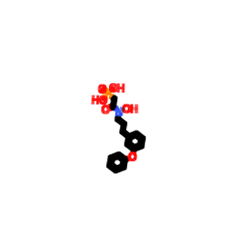 O=C(CP(=O)(O)O)N(O)CCCc1cccc(Oc2ccccc2)c1